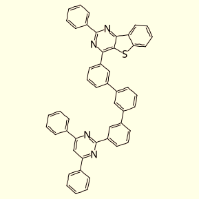 c1ccc(-c2cc(-c3ccccc3)nc(-c3cccc(-c4cccc(-c5cccc(-c6nc(-c7ccccc7)nc7c6sc6ccccc67)c5)c4)c3)n2)cc1